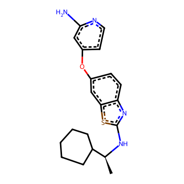 C[C@H](Nc1nc2ccc(Oc3ccnc(N)c3)cc2s1)C1CCCCC1